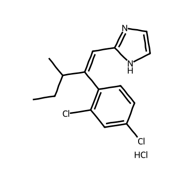 CCC(C)/C(=C/c1ncc[nH]1)c1ccc(Cl)cc1Cl.Cl